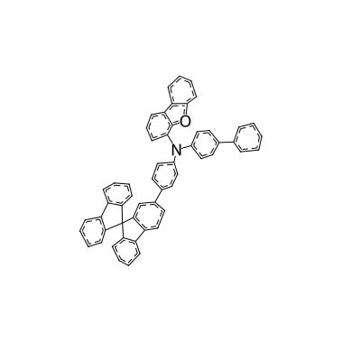 c1ccc(-c2ccc(N(c3ccc(-c4ccc5c(c4)C4(c6ccccc6-c6ccccc64)c4ccccc4-5)cc3)c3cccc4c3oc3ccccc34)cc2)cc1